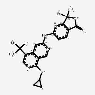 CCC(C)(N)c1cnc(OC2CC2)c2cnc(Nc3ccc4c(n3)[C@@](C)(CC)OC4=O)cc12